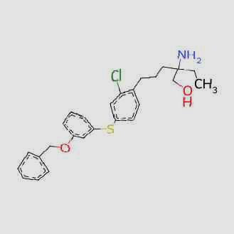 CCC(N)(CO)CCCc1ccc(Sc2cccc(OCc3ccccc3)c2)cc1Cl